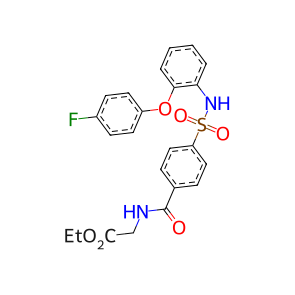 CCOC(=O)CNC(=O)c1ccc(S(=O)(=O)Nc2ccccc2Oc2ccc(F)cc2)cc1